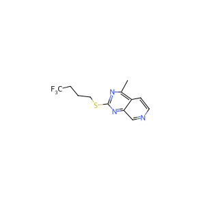 Cc1nc(SCCCC(F)(F)F)nc2cnccc12